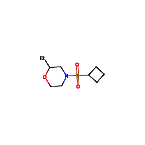 CCC1CN(S(=O)(=O)C2CCC2)CCO1